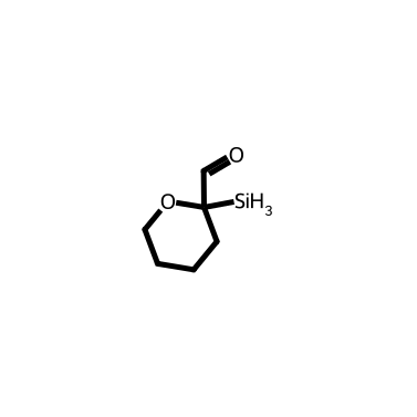 O=CC1([SiH3])CCCCO1